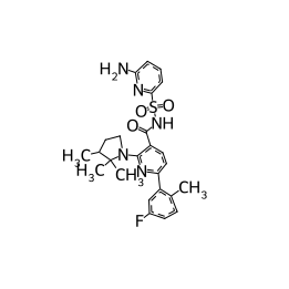 Cc1ccc(F)cc1-c1ccc(C(=O)NS(=O)(=O)c2cccc(N)n2)c(N2CCC(C)C2(C)C)n1